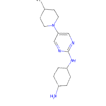 CC(C)C1CCN(c2cnc(NC3CCC(N)CC3)nc2)CC1